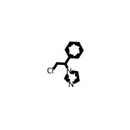 ClCC(c1ccccc1)n1ccnc1